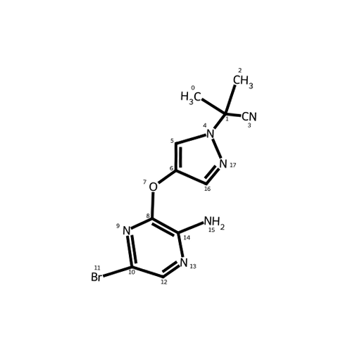 CC(C)(C#N)n1cc(Oc2nc(Br)cnc2N)cn1